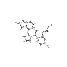 CO/N=C/c1cc(Cl)cnc1C(Oc1ccc2nc(C)sc2c1)c1nnco1